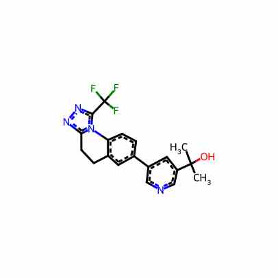 CC(C)(O)c1cncc(-c2ccc3c(c2)CCc2nnc(C(F)(F)F)n2-3)c1